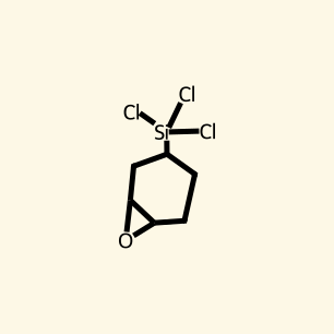 Cl[Si](Cl)(Cl)C1CCC2OC2C1